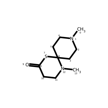 CN1CCC2(CC1)SC(=O)CCN2C